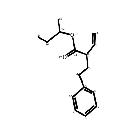 C=CC(CCc1ccccc1)C(=O)OC(C)CC